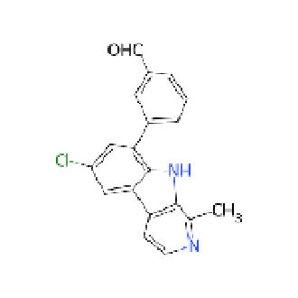 Cc1nccc2c1[nH]c1c(-c3cccc(C=O)c3)cc(Cl)cc12